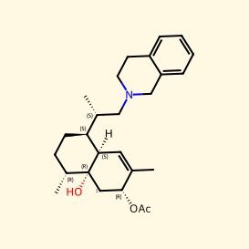 CC(=O)O[C@@H]1[C][C@@]2(O)[C@H](C)CC[C@@H]([C@H](C)CN3CCc4ccccc4C3)[C@H]2C=C1C